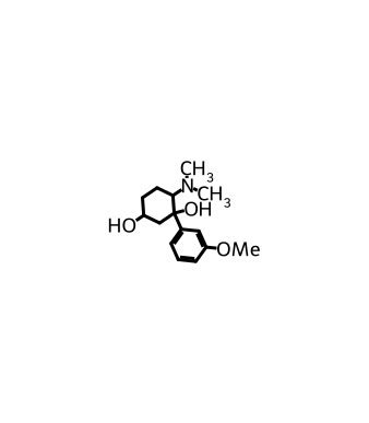 COc1cccc(C2(O)CC(O)CCC2N(C)C)c1